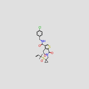 C=CC(C)(C)S(=O)(=O)C1(CN2CCc3c(C(=O)NCc4ccc(Cl)cc4)csc3C2=O)CC1